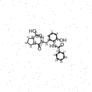 O=C(Nc1c(O)cccc1CNC(=O)N1CCC[C@H]1C(=O)O)c1ccccc1